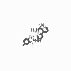 Cc1ccc(F)c(NC(=O)Nc2ccc(-c3cccn4nnc(N)c34)nc2)c1